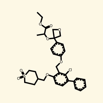 CCOC(=O)C(C)OC1(c2ccc(OCc3c(OCC4CCS(=O)(=O)CC4)ccc(-c4ccccc4)c3Cl)cc2)COC1